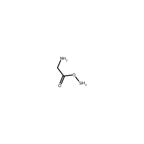 NCC(=O)O[SiH3]